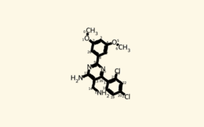 COc1cc(OC)cc(-c2nc(N)c(CN)c(-c3ccc(Cl)cc3Cl)n2)c1